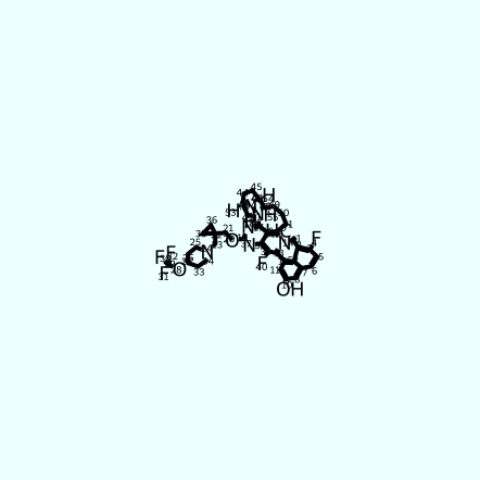 C#Cc1c(F)ccc2cc(O)cc(-c3nc4c5c(nc(OCC6(CN7CCC(OC(F)(F)F)CC7)CC6)nc5c3F)N3C[C@H]5CC[C@H](N5)[C@H]3CCC4)c12